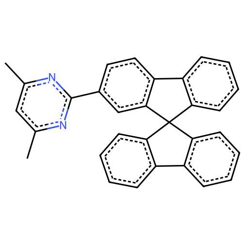 Cc1cc(C)nc(-c2ccc3c(c2)C2(c4ccccc4-c4ccccc42)c2ccccc2-3)n1